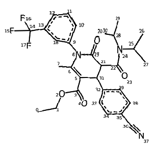 CCOC(=O)C1=C(C)N(c2cccc(C(F)(F)F)c2)C(=O)C(C(=O)N(C(C)C)C(C)C)C1c1ccc(C#N)cc1